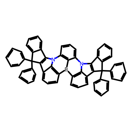 c1ccc(C2(c3ccccc3)c3ccccc3-c3c2c2cccc4c2n3-c2cccc3c2B4c2cccc4c5c(n-3c24)-c2ccccc2C5(c2ccccc2)c2ccccc2)cc1